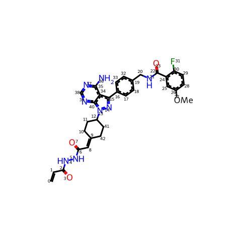 C=CC(=O)NNC(=O)C=C1CCC(n2nc(-c3ccc(CNC(=O)c4cc(OC)ccc4F)cc3)c3c(N)ncnc32)CC1